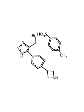 CC(C)(C)Cc1nn[nH]c1-c1ccc(C2CNC2)cc1.Cc1ccc(S(=O)(=O)O)cc1